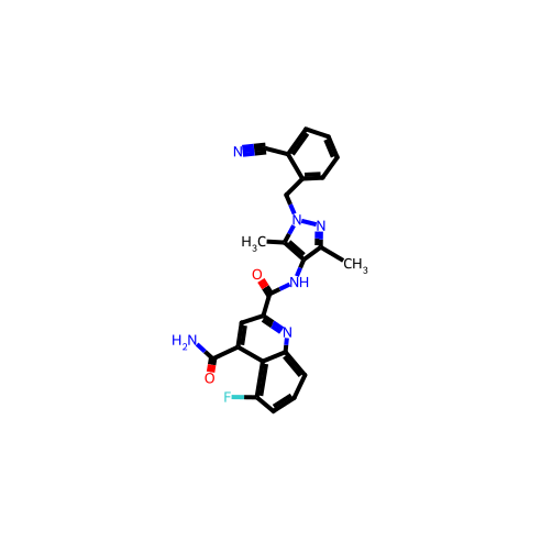 Cc1nn(Cc2ccccc2C#N)c(C)c1NC(=O)c1cc(C(N)=O)c2c(F)cccc2n1